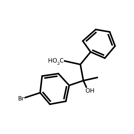 CC(O)(c1ccc(Br)cc1)C(C(=O)O)c1ccccc1